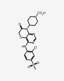 CS(=O)(=O)c1ccc(Nc2ncnc3c2OCC(=O)N3C2CCN(C(=O)O)CC2)c(Cl)c1